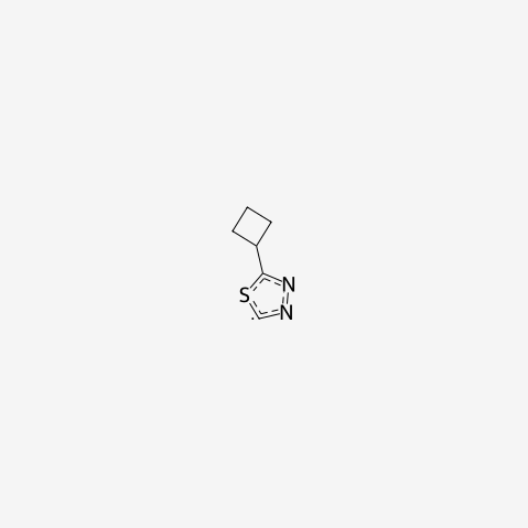 [c]1nnc(C2CCC2)s1